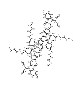 CCCCCCc1ccc(C2(c3ccc(CCCCCC)cc3)c3c(sc4cc(/C=C5\C(=O)c6cc(C)ccc6C5=C(C#N)C#N)sc34)-c3sc4c5c(sc4c32)-c2sc3cc(/C=C4\C(=O)c6cc(C)ccc6C4=C(C#N)C#N)sc3c2C5(c2ccc(CCCCCC)cc2)c2ccc(CCCCCC)cc2)cc1